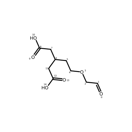 O=CCOCCC(CC(=O)O)CC(=O)O